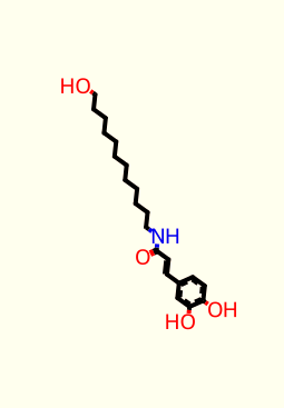 O=C(C=Cc1ccc(O)c(O)c1)NCCCCCCCCCCCCO